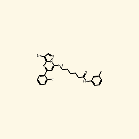 Cc1cccc(NC(=O)CCCCCNc2cc(-c3ccccc3Cl)nc3c(Br)cnn23)c1